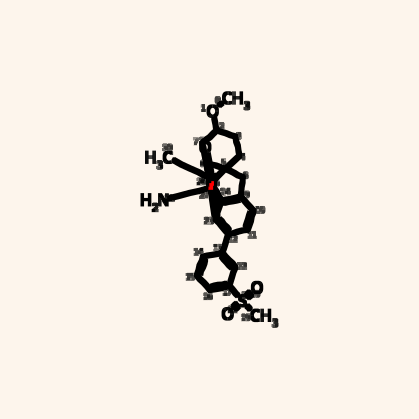 COC1CCC2(CC1)Cc1ccc(-c3cccc(S(C)(=O)=O)c3)cc1C21N=C(N)N(C)C1=O